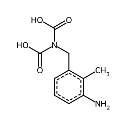 Cc1c(N)cccc1CN(C(=O)O)C(=O)O